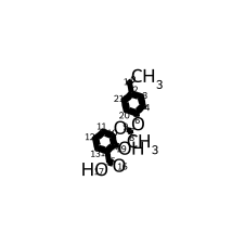 CCc1ccc(OC(C)Oc2cccc(C(=O)O)c2O)cc1